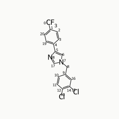 FC(F)(F)c1ccc(-c2cn(Cc3ccc(Cl)c(Cl)c3)cn2)cc1